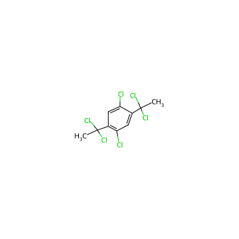 CC(Cl)(Cl)c1cc(Cl)c(C(C)(Cl)Cl)cc1Cl